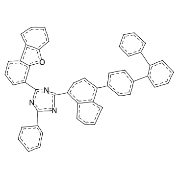 c1ccc(-c2nc(-c3ccc(-c4ccc(-c5ccccc5-c5ccccc5)cc4)c4ccccc34)nc(-c3cccc4c3oc3ccccc34)n2)cc1